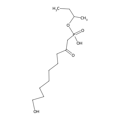 CCC(C)OP(=O)(O)CC(=O)CCCCCCCO